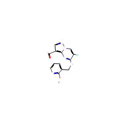 COc1ncccc1[C@@H](C)Nc1nc2c(C(=O)O)cnn2cc1F